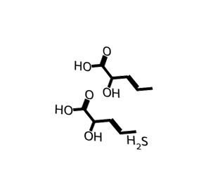 CC=CC(O)C(=O)O.CC=CC(O)C(=O)O.S